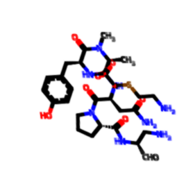 C[C@@H](C(=O)N[C@@H](CC(N)=O)C(=O)N1CCC[C@H]1C(=O)N[C@H](C=O)CN)N(C)C(=O)[C@H](Cc1ccc(O)cc1)NC(=O)CSCCN